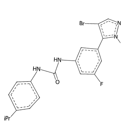 CC(C)c1ccc(NC(=O)Nc2cc(F)cc(-c3c(Br)cnn3C)c2)cc1